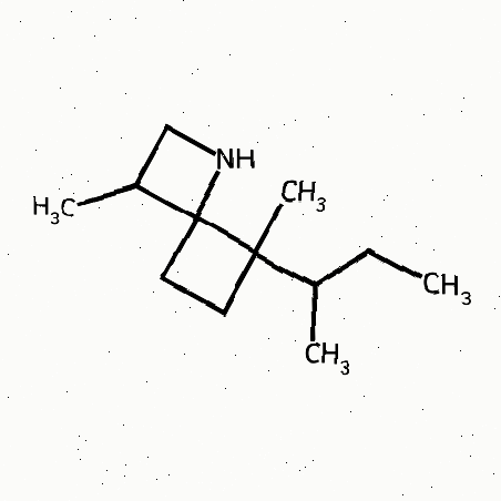 CCC(C)C1(C)CCC12NCC2C